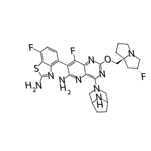 Nc1nc2c(-c3c(N)nc4c(N5CC6CCC(C5)N6)nc(OC[C@@]56CCCN5C[C@H](F)C6)nc4c3F)ccc(F)c2s1